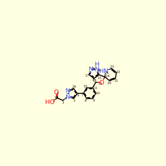 O=C(O)Cn1cc(-c2cccc(COC3(c4ccn[nH]4)C=CC=CN3)c2)cn1